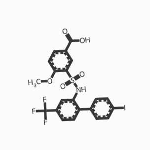 COc1ccc(C(=O)O)cc1S(=O)(=O)Nc1cc(C(F)(F)F)ccc1-c1ccc(I)cc1